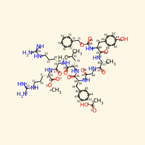 CC(=O)O.COC(=O)[C@H](CCCNC(=N)N)NC(=O)[C@H](CCCNC(=N)N)NC(=O)[C@H](CC(C)C)NC(=O)[C@H](Cc1ccccc1)NC(=O)CNC(=O)[C@@H](C)NC(=O)[C@H](Cc1ccc(O)cc1)NC(=O)OCc1ccccc1